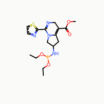 CCOP(NC1CC2=C(C(=O)OC)CN=C(c3nccs3)N2C1)OCC